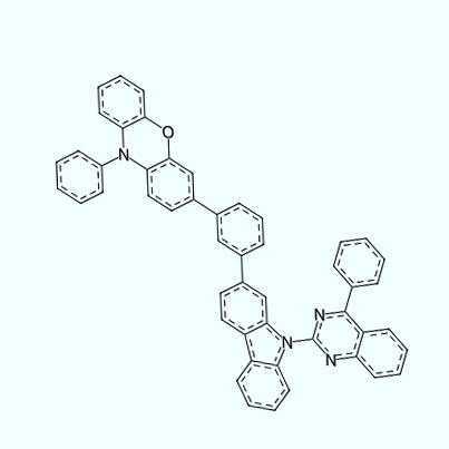 c1ccc(-c2nc(-n3c4ccccc4c4ccc(-c5cccc(-c6ccc7c(c6)Oc6ccccc6N7c6ccccc6)c5)cc43)nc3ccccc23)cc1